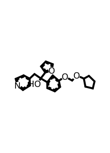 OC(Cc1ccncc1)(c1cccc(OCOC2CCCC2)c1)c1ccco1